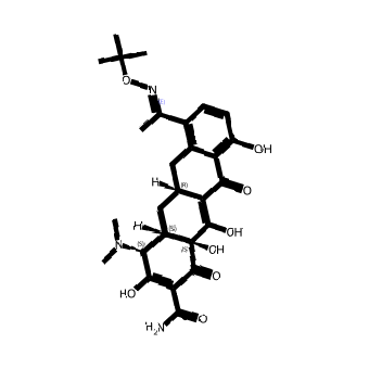 C/C(=N\OC(C)(C)C)c1ccc(O)c2c1C[C@H]1C[C@H]3[C@H](N(C)C)C(O)=C(C(N)=O)C(=O)[C@@]3(O)C(O)=C1C2=O